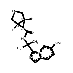 CSc1ccc2cnc(C(C)(C)NC(=O)[C@H]3[C@@H]4CNC[C@@H]43)n2c1